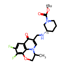 CC1COc2c(F)c(F)cc3c(=O)c(CN[C@H]4CCCN(C(=O)OC(C)(C)C)C4)cn1c23